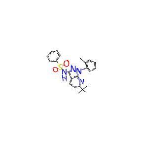 Cc1ccccc1-n1nc(NS(=O)(=O)c2ccccc2)c2ccc(C(C)(C)C)nc21